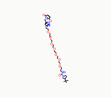 CC(C)(C)C1CCN(C(=O)NCCOCCOCCOCCOCCOCCOCCOCCn2cc(CN3C(=O)C=CC3=O)nn2)C1